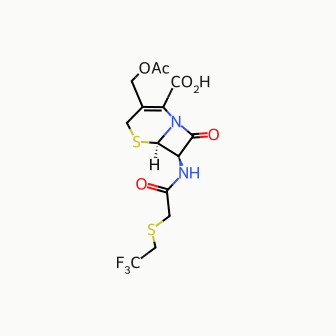 CC(=O)OCC1=C(C(=O)O)N2C(=O)[C@@H](NC(=O)CSCC(F)(F)F)[C@H]2SC1